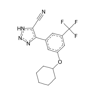 N#Cc1[nH]nnc1-c1cc(OC2CCCCC2)cc(C(F)(F)F)c1